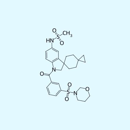 CS(=O)(=O)Nc1ccc2c(c1)C1(CCC3(CC3)CC1)CN2C(=O)c1cccc(S(=O)(=O)N2CCCOC2)c1